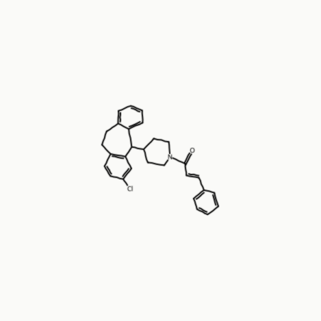 O=C(C=Cc1ccccc1)N1CCC(C2c3ccccc3CCc3ccc(Cl)cc32)CC1